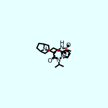 CC(C)n1c(=O)c(C2CC3CCC(C2)N3CCCNS(C)(=O)=O)cc2cccn21